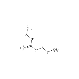 [CH2]CCCC(=C)OCC